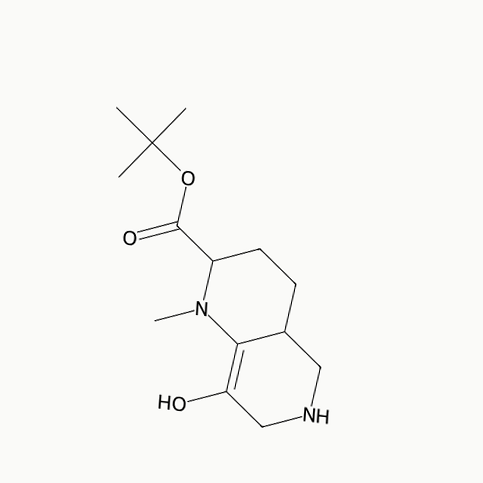 CN1C2=C(O)CNCC2CCC1C(=O)OC(C)(C)C